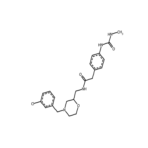 CNC(=O)Nc1ccc(CC(=O)NCC2CN(Cc3cccc(Cl)c3)CCO2)cc1